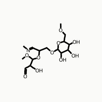 C/N=C/C(COC1OC(COC)C(O)C(O)C1O)OC(OC)C(O)C=O